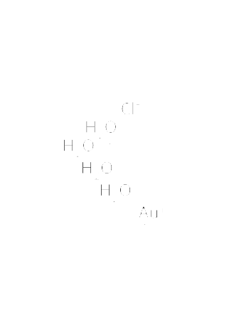 O.O.O.O.[Au+].[Cl-]